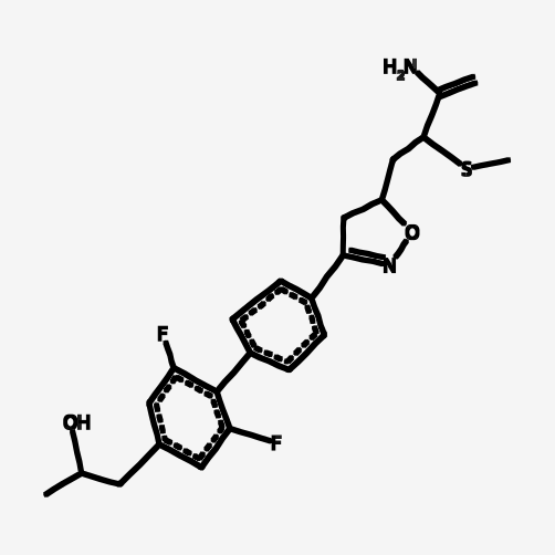 C=C(N)C(CC1CC(c2ccc(-c3c(F)cc(CC(C)O)cc3F)cc2)=NO1)SC